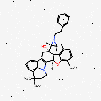 COc1ccc(C)c2c1O[C@H]1c3c(c4cccc5c4n3CCC5(OC)OC)C[C@@]3(O)[C@H]4C(C[C@]213)N4CCc1ccccc1